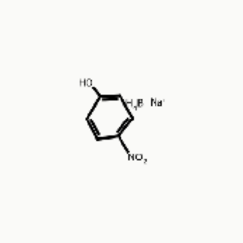 O=[N+]([O-])c1ccc(O)cc1.[BH4-].[Na+]